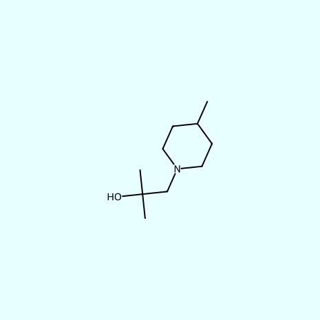 CC1CCN(CC(C)(C)O)CC1